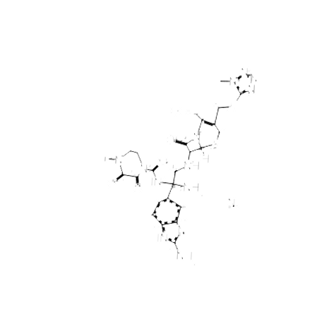 CCN1CCN(C(=O)NC(N)(C(=O)NC2C(=O)N3C(C(=O)[O-])=C(CSc4nnnn4C)CS[C@@H]23)c2ccc3[nH]c(N)nc3c2)C(=O)C1=O.[Na+]